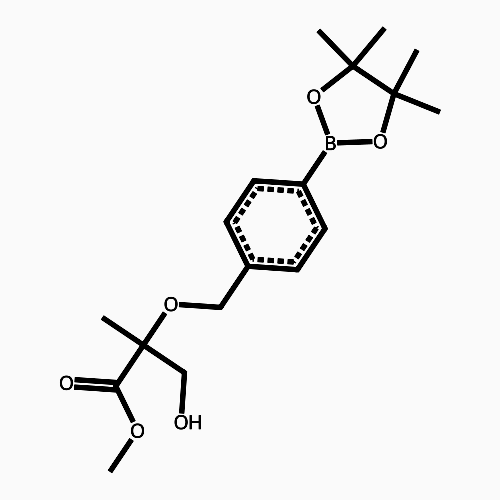 COC(=O)C(C)(CO)OCc1ccc(B2OC(C)(C)C(C)(C)O2)cc1